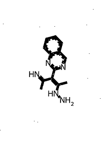 CC(=N)/C(=C(/C)NN)c1ncc2ccccc2n1